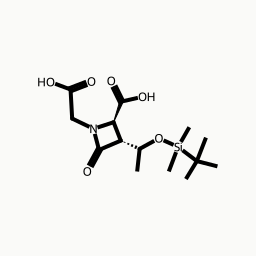 CC(O[Si](C)(C)C(C)(C)C)[C@@H]1C(=O)N(CC(=O)O)[C@H]1C(=O)O